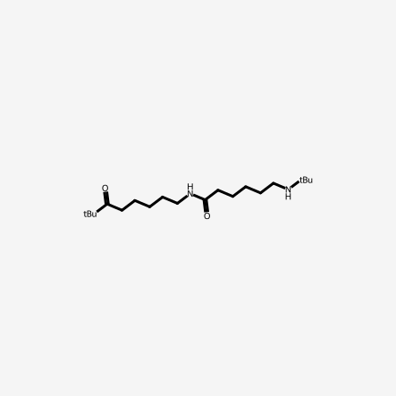 CC(C)(C)NCCCCCC(=O)NCCCCCC(=O)C(C)(C)C